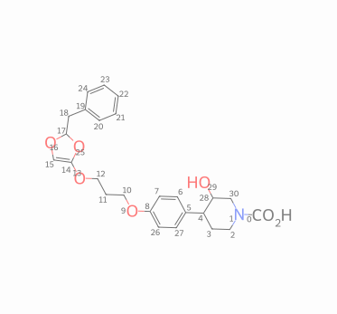 O=C(O)N1CCC(c2ccc(OCCCOC3=COC(Cc4ccccc4)O3)cc2)C(O)C1